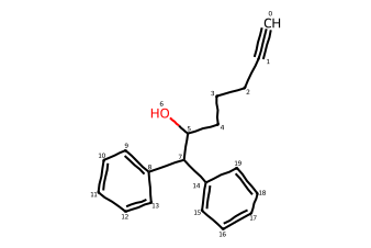 C#CCCCC(O)C(c1ccccc1)c1ccccc1